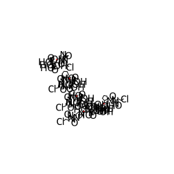 CN(CCCCC(O)(P(=O)(O)O)P(=O)(O)O)C(=O)N(CCCl)N=O.O=NN(CCCl)C(=O)N1CCN(CCC(O)(P(=O)(O)O)P(=O)(O)O)CC1.O=NN(CCCl)C(=O)NC1(CCC(O)(P(=O)(O)O)P(=O)(O)O)CCCC1.O=NN(CCCl)C(=O)NC1(CCC(O)(P(=O)(O)O)P(=O)(O)O)CCCCC1.O=NN(CCCl)C(=O)NC1CCCC1CCC(O)(P(=O)(O)O)P(=O)(O)O